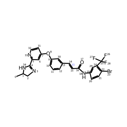 CC1CN=C(c2cc(Oc3cccc(/C=C/C(=O)Nc4ccc(Br)c(C(F)(F)F)c4)c3)ccn2)N1